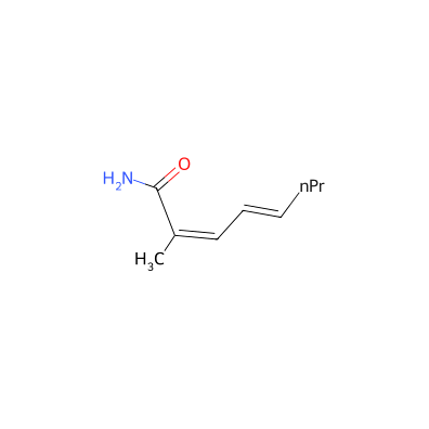 CCCC=CC=C(C)C(N)=O